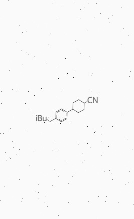 CCC(C)Cc1ccc(C2CCC(C#N)CC2)cc1